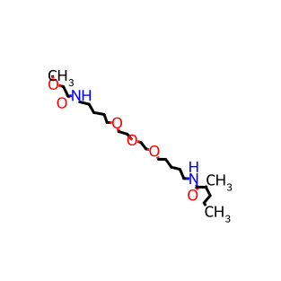 CCCC(C)C(=O)NCCCCCOCCOCCOCCCCCNC(=O)COC